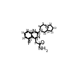 NC(=O)Cc1nc(N2CCN3CCCC3C2)nc2cccc(F)c12